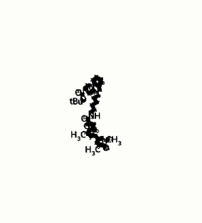 Cc1cc(-c2cc(C)c3oc(C(=O)NCCCCCCNCc4ccccc4N4CCN(C(=O)OC(C)(C)C)CC4)cc3c2)cn(C)c1=O